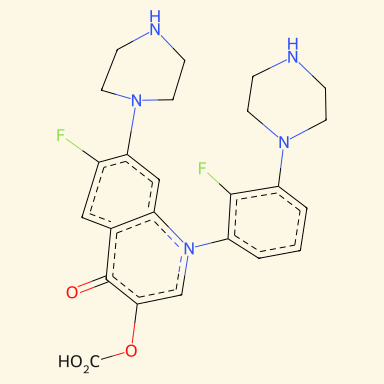 O=C(O)Oc1cn(-c2cccc(N3CCNCC3)c2F)c2cc(N3CCNCC3)c(F)cc2c1=O